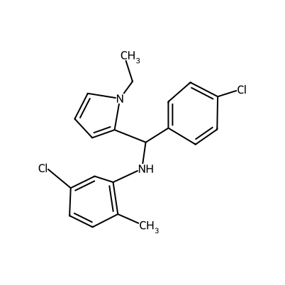 CCn1cccc1C(Nc1cc(Cl)ccc1C)c1ccc(Cl)cc1